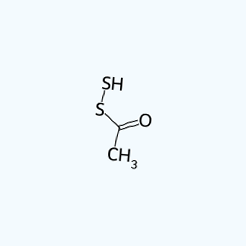 CC(=O)SS